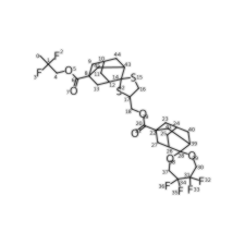 CC(F)(F)COC(=O)C12CC3CC(C1)C1(SCC(COC(=O)C45CC6CC(C4)C4(OCC(F)(F)C(F)(F)CO4)C(C6)C5)S1)C(C3)C2